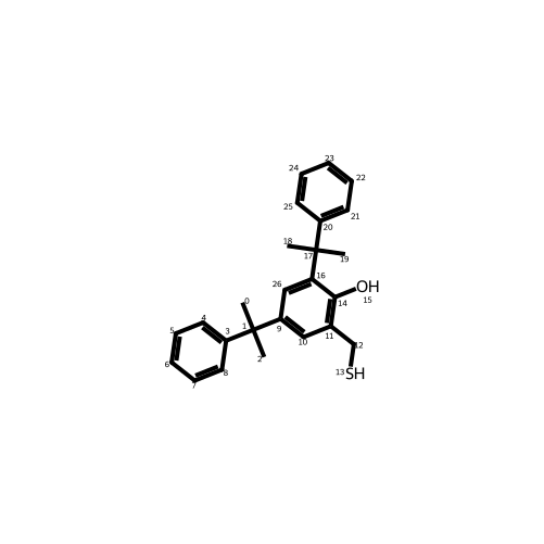 CC(C)(c1ccccc1)c1cc(CS)c(O)c(C(C)(C)c2ccccc2)c1